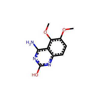 COc1ccc2nc(O)nc(N)c2c1OC